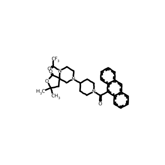 CC1(C)CC2(CN(C3CCN(C(=O)c4c5ccccc5cc5ccccc45)CC3)CCN2C(=O)C(F)(F)F)C(=O)O1